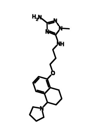 Cn1nc(N)nc1NCCCOc1cccc2c1CCCC2N1CCCC1